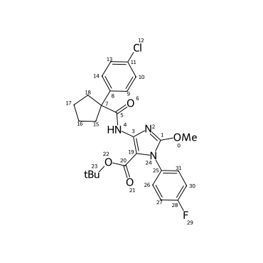 COc1nc(NC(=O)C2(c3ccc(Cl)cc3)CCCC2)c(C(=O)OC(C)(C)C)n1-c1ccc(F)cc1